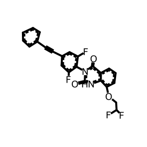 O=c1[nH]c2c(OCC(F)F)cccc2c(=O)n1-c1c(F)cc(C#Cc2ccccc2)cc1F